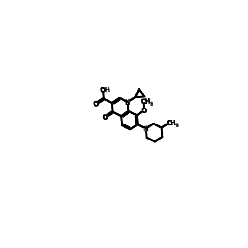 COc1c(N2CCCC(C)C2)ccc2c(=O)c(C(=O)O)cn(C3CC3)c12